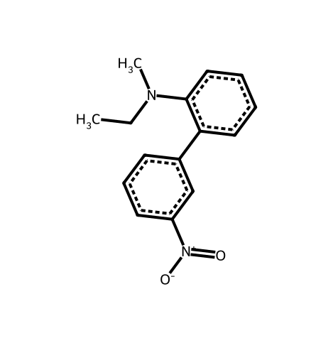 CCN(C)c1ccccc1-c1cccc([N+](=O)[O-])c1